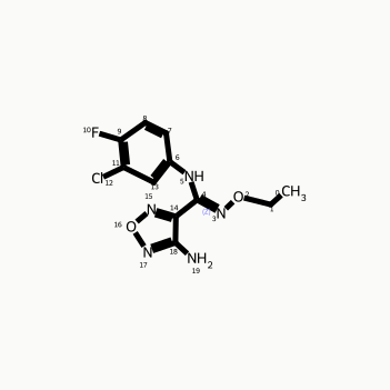 CCO/N=C(\Nc1ccc(F)c(Cl)c1)c1nonc1N